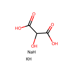 O=C(O)C(O)C(=O)O.[KH].[NaH]